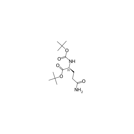 CC(C)(C)OC(=O)N[C@@H](CCC(N)=O)C(=O)OC(C)(C)C